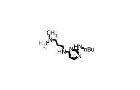 CCCCNc1nccc(NCCCN(C)C)n1